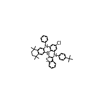 CC(C)(C)c1ccc(N2c3cc(Cl)cc4c3B(c3cc5c(cc3N4c3ccccc3)C(C)(C)CCC5(C)C)c3sc4ccccc4c32)cc1